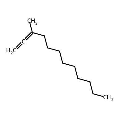 C=C=C(C)CCCCCCCCC